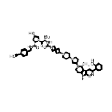 C#Cc1ccc(CNC(=O)[C@@H]2C[C@@H](O)CN2C(=O)[C@@H](NC(=O)N2CC3(CC(N4CCC(N5CCC(N6CCc7[nH]c8nnc(-c9ccccc9O)cc8c7[C@H]6C)C5)CC4)C3)C2)C(C)(C)C)cc1